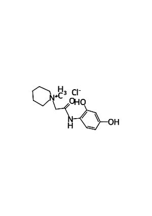 C[N+]1(CC(=O)Nc2ccc(O)cc2O)CCCCC1.[Cl-]